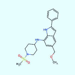 COCc1cc(NC2CCN(S(C)(=O)=O)CC2)c2[nH]c(-c3ccccc3)cc2c1